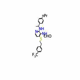 CCCc1ccc(C(C)Nc2nccc(SCCc3ccc(C(F)(F)F)cc3)c2NC=O)cc1